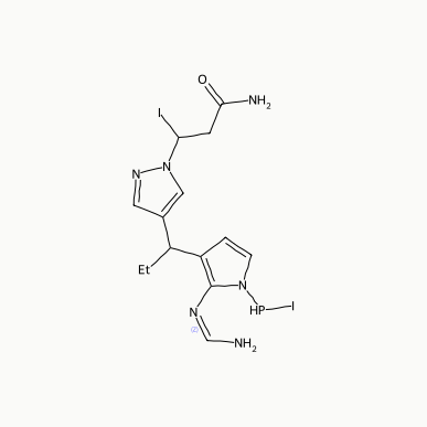 CCC(c1cnn(C(I)CC(N)=O)c1)c1ccn(PI)c1/N=C\N